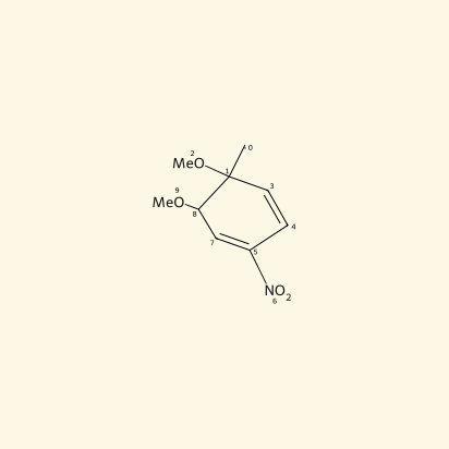 [CH2]C1(OC)C=CC([N+](=O)[O-])=CC1OC